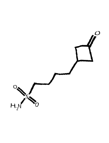 NS(=O)(=O)CCCCC1CC(=O)C1